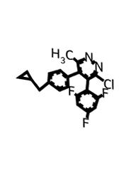 Cc1nnc(Cl)c(-c2c(F)cc(F)cc2F)c1-c1ccc(CC2CC2)cc1